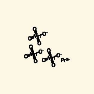 [O]=[Mn](=[O])(=[O])[O-].[O]=[Mn](=[O])(=[O])[O-].[O]=[Mn](=[O])(=[O])[O-].[Pr+3]